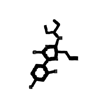 C=CCc1nc(-c2ccc(Cl)cc2Cl)c(Cl)nc1NC(CC)CC